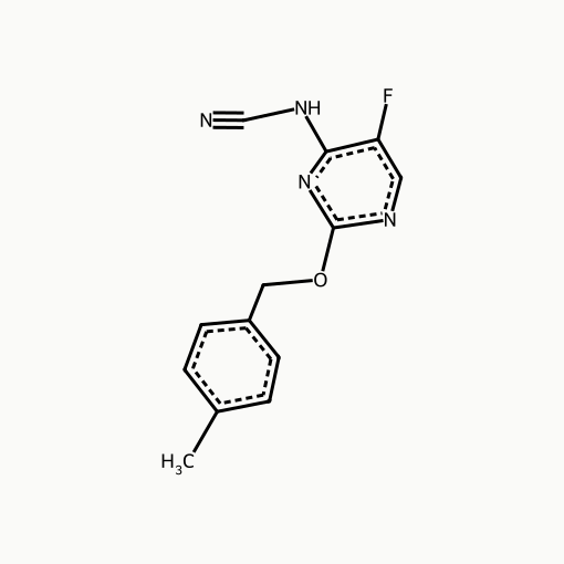 Cc1ccc(COc2ncc(F)c(NC#N)n2)cc1